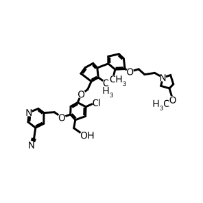 COC1CCN(CCCOc2cccc(-c3cccc(COc4cc(OCc5cncc(C#N)c5)c(CO)cc4Cl)c3C)c2C)C1